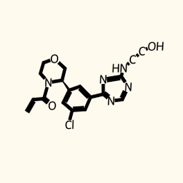 C=CC(=O)N1CCOC[C@H]1c1cc(Cl)cc(-c2ncnc(NCCO)n2)c1